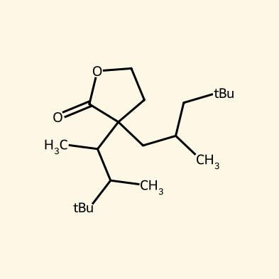 CC(CC(C)(C)C)CC1(C(C)C(C)C(C)(C)C)CCOC1=O